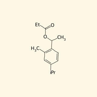 CCC(=O)OC(C)c1ccc(C(C)C)cc1C